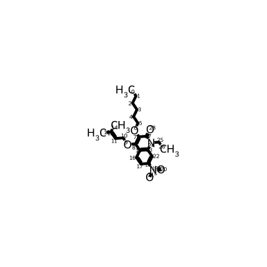 CCCCCCOc1c(OCC=C(C)C)c2ccc([N+](=O)[O-])cc2n(CC)c1=O